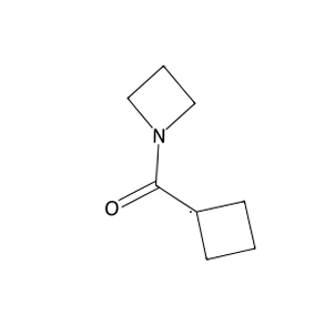 O=C([C]1CCC1)N1CCC1